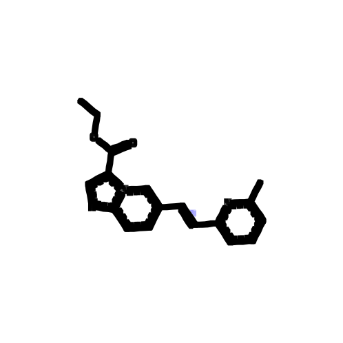 CCOC(=O)c1cnc2ccc(/C=C/c3cccc(C)n3)cn12